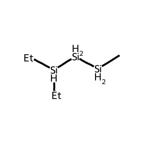 CC[SiH](CC)[SiH2][SiH2]C